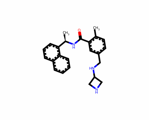 Cc1ccc(CNC2CNC2)cc1C(=O)N[C@H](C)c1cccc2ccccc12